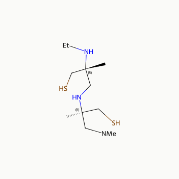 CCN[C@@](C)(CS)CN[C@@](C)(CS)CNC